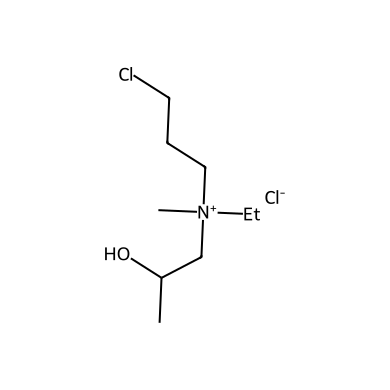 CC[N+](C)(CCCCl)CC(C)O.[Cl-]